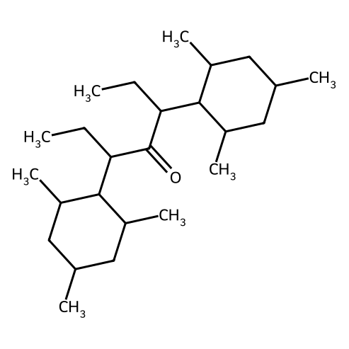 CCC(C(=O)C(CC)C1C(C)CC(C)CC1C)C1C(C)CC(C)CC1C